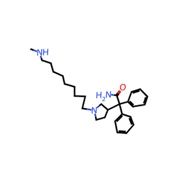 CNCCCCCCCCCN1CCC(C(C(N)=O)(c2ccccc2)c2ccccc2)C1